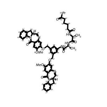 COc1cc2c(cc1OCc1cc(COc3cc4c(cc3OC)C(=O)N3c5ccccc5C[C@H]3C=N4)cc(NC(=O)[C@H](C)NC(=O)[C@H](C)NC(=O)CCCCC(=O)C(C)C)c1)N=C[C@@H]1Cc3ccccc3N1C2=O